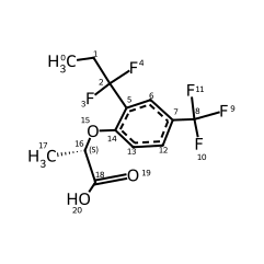 CCC(F)(F)c1cc(C(F)(F)F)ccc1O[C@@H](C)C(=O)O